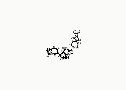 CC(=O)N1CC2(CCC(Nc3ncc4c(-c5ccc6nncn6c5)c[nH]c4n3)CC2)C1